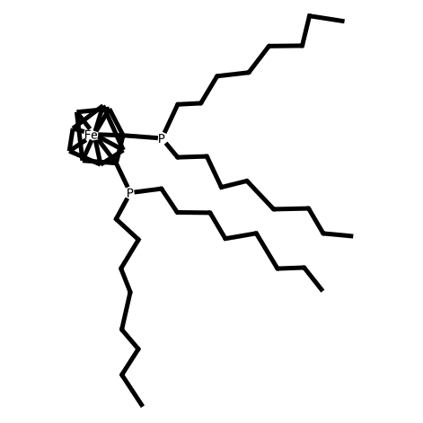 CCCCCCCCP(CCCCCCCC)[C]12[CH]3[CH]4[CH]5[C]1(P(CCCCCCCC)CCCCCCCC)[Fe]43521678[CH]2[CH]1[CH]6[CH]7[CH]28